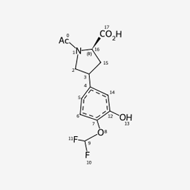 CC(=O)N1CC(c2ccc(OC(F)F)c(O)c2)C[C@@H]1C(=O)O